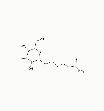 CC1C(O)C(CO)OC(OCCCCC(N)=O)C1O